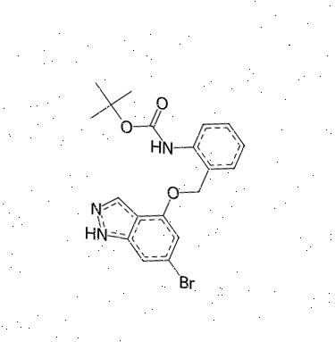 CC(C)(C)OC(=O)Nc1ccccc1COc1cc(Br)cc2[nH]ncc12